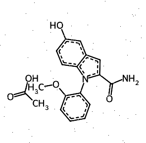 CC(=O)O.COc1ccccc1-n1c(C(N)=O)cc2cc(O)ccc21